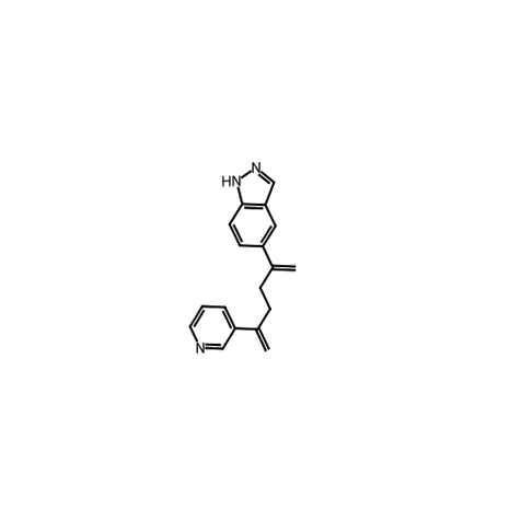 C=C(CCC(=C)c1ccc2[nH]ncc2c1)c1cccnc1